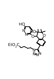 CCOC(=O)CCCCn1nnnc1-c1ccc2c(c1)C(Oc1ccc(O)nn1)C(C)(O)C(C)(C)O2